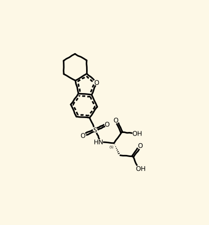 O=C(O)C[C@H](NS(=O)(=O)c1ccc2c3c(oc2c1)CCCC3)C(=O)O